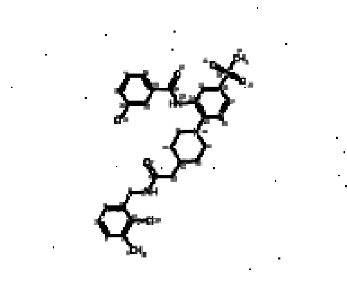 Cc1cccc(CNC(=O)CC2CCN(c3ncc(S(C)(=O)=O)cc3NC(=O)c3cccc(Cl)c3)CC2)c1Cl